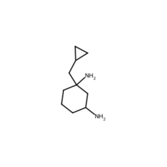 NC1CCCC(N)(CC2CC2)C1